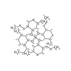 CCCC1CCC(C)CC1O[Si](OC1CC(C)CCC1CCC)(OC1CC(C)CCC1CCC)OC1CC(C)CCC1CCC